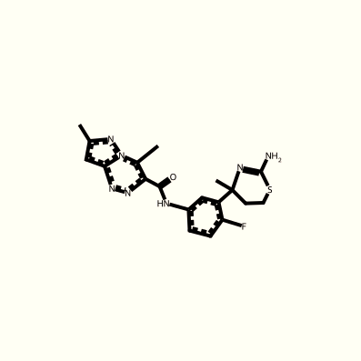 Cc1cc2nnc(C(=O)Nc3ccc(F)c(C4(C)CCSC(N)=N4)c3)c(C)n2n1